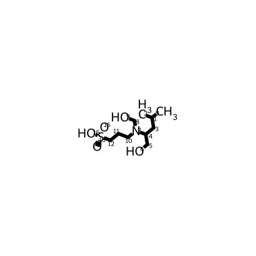 CC(C)CC(CO)N(CO)CCCS(=O)(=O)O